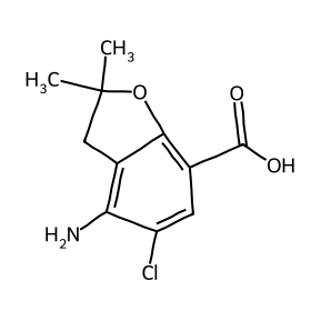 CC1(C)Cc2c(N)c(Cl)cc(C(=O)O)c2O1